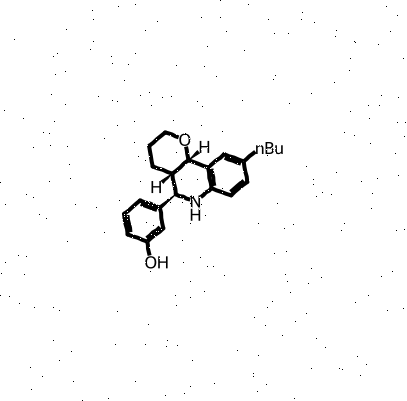 CCCCc1ccc2c(c1)[C@H]1OCCC[C@H]1[C@H](c1cccc(O)c1)N2